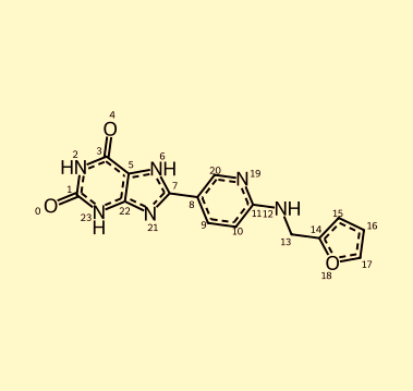 O=c1[nH]c(=O)c2[nH]c(-c3ccc(NCc4ccco4)nc3)nc2[nH]1